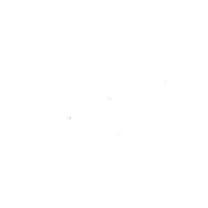 O=CNc1c(CC(=O)O)ccc2c1C1C(=O)C=NC=C1N2Cc1cc(F)cc(C(F)(F)F)c1